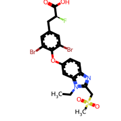 CCn1c(CS(C)(=O)=O)nc2ccc(Oc3c(Br)cc(C[C@H](F)C(=O)O)cc3Br)cc21